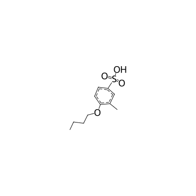 CCCCOc1ccc(S(=O)(=O)O)cc1C